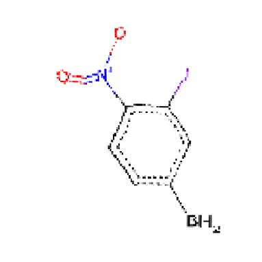 Bc1ccc([N+](=O)[O-])c(I)c1